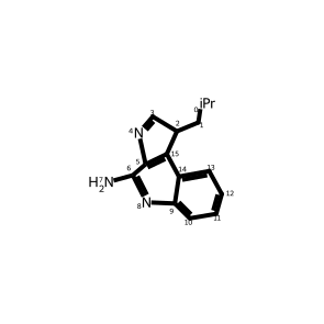 CC(C)CC1C=Nc2c(N)nc3ccccc3c21